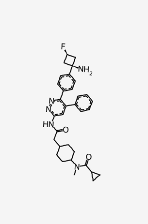 CN(C(=O)C1CC1)C1CCC(CC(=O)Nc2cc(-c3ccccc3)c(-c3ccc([C@]4(N)C[C@@H](F)C4)cc3)nn2)CC1